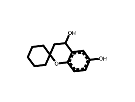 Oc1ccc2c(c1)C(O)CC1(CCCCC1)O2